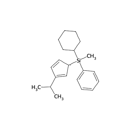 CC(C)C1=C[C]([Si](C)(c2ccccc2)C2CCCCC2)C=C1